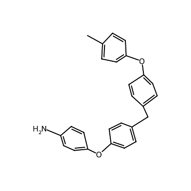 Cc1ccc(Oc2ccc(Cc3ccc(Oc4ccc(N)cc4)cc3)cc2)cc1